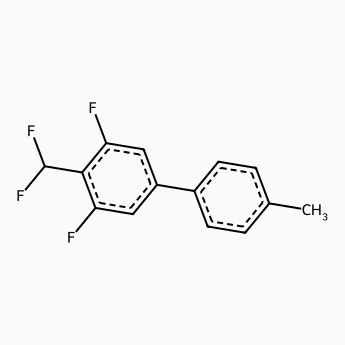 Cc1ccc(-c2cc(F)c(C(F)F)c(F)c2)cc1